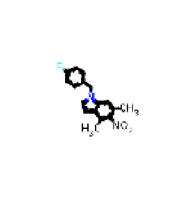 Cc1cc2c(ccn2Cc2ccc(F)cc2)c(C)c1[N+](=O)[O-]